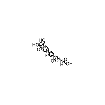 O=C(CO)NC[C@H]1CN(c2ccc(N3CCN(C(=O)CO)N(C(=O)CO)CC3)c(F)c2)C(=O)O1